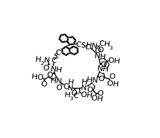 CC(=O)NC1CSCc2ccc3ccccc3c2-c2c(ccc3ccccc23)CSC[C@@H](C(N)=O)NC(=O)[C@H](CCC(=O)O)NC(=O)CNC(=O)C([C@@H](C)O)NC(=O)[C@H](CCC(=O)O)NC(=O)[C@H](CCC(=O)O)NC(=O)[C@H](CC(=O)O)NC1=O